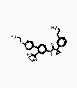 CCCc1cccc(C2(C(=O)Nc3ccc(-c4ccc(OCC)nc4)c(-c4nnn[nH]4)c3)CC2)c1